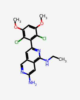 CCNc1nc(-c2c(Cl)c(OC)cc(OC)c2Cl)cc2cnc(N)cc12